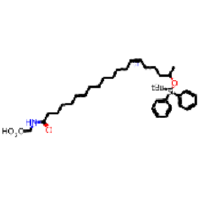 CC(CCC/C=C\CCCCCCCCCCCCC(=O)NCC(=O)O)O[Si](c1ccccc1)(c1ccccc1)C(C)(C)C